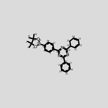 CC1(C)OB(c2ccc(-c3nc(-c4ccccc4)nc(C4C=CC=CC4)n3)cc2)OC1(C)C